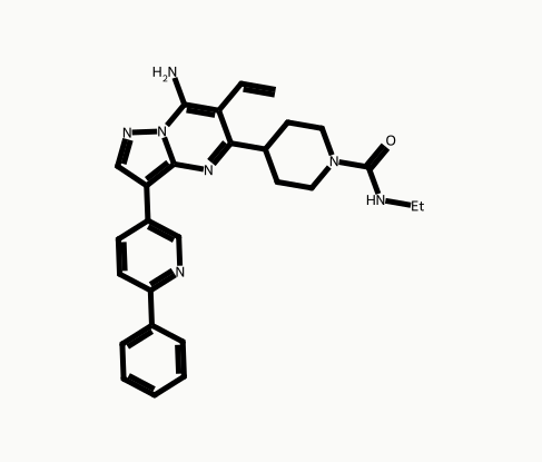 C=Cc1c(C2CCN(C(=O)NCC)CC2)nc2c(-c3ccc(-c4ccccc4)nc3)cnn2c1N